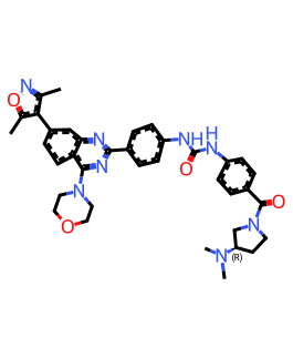 Cc1noc(C)c1-c1ccc2c(N3CCOCC3)nc(-c3ccc(NC(=O)Nc4ccc(C(=O)N5CC[C@@H](N(C)C)C5)cc4)cc3)nc2c1